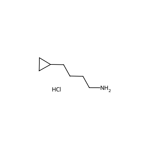 Cl.NCCCCC1CC1